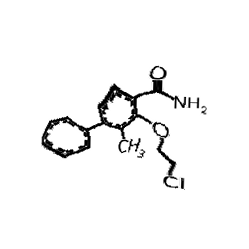 Cc1c(-c2ccccc2)ccc(C(N)=O)c1OCCCl